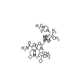 CN1CCN(CC(NC(=O)NCC(=O)N2C[C@@](C)(C(C)(C)C3CCC3)C[C@H]2C(=O)NC(CC2CCC2)C(=O)C(N)=O)C(C)(C)C)CC12CC2